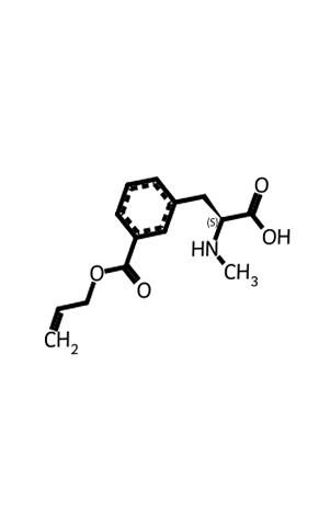 C=CCOC(=O)c1cccc(C[C@H](NC)C(=O)O)c1